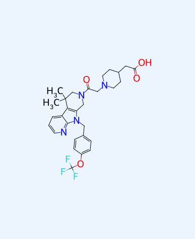 CC1(C)CN(C(=O)CN2CCC(CC(=O)O)CC2)Cc2c1c1cccnc1n2Cc1ccc(OC(F)(F)F)cc1